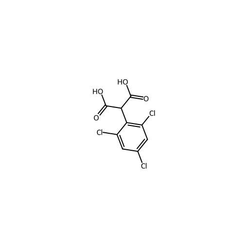 O=C(O)C(C(=O)O)c1c(Cl)cc(Cl)cc1Cl